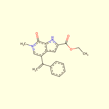 C=C(c1ccccc1)c1cn(C)c(=O)c2[nH]c(C(=O)OCC)cc12